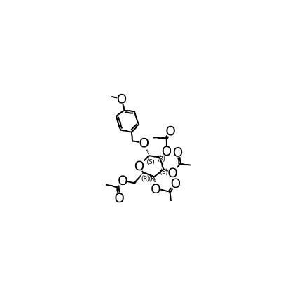 COc1ccc(CO[C@H]2O[C@H](COC(C)=O)[C@@H](OC(C)=O)[C@H](OC(C)=O)[C@H]2OC(C)=O)cc1